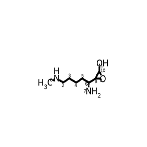 CNCCCC[C@H](N)C1OC1O